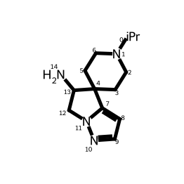 CC(C)N1CCC2(CC1)c1ccnn1CC2N